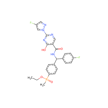 CCOP(C)(=O)c1ccc(C(NC(=O)c2cnc(-n3cc(F)cn3)nc2O)c2ccc(F)cc2)cc1